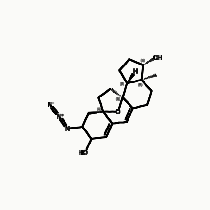 C[C@]12CCC3=CC4=CC(O)C(N=[N+]=[N-])C[C@]45CC[C@]3(O5)[C@@H]1CC[C@@H]2O